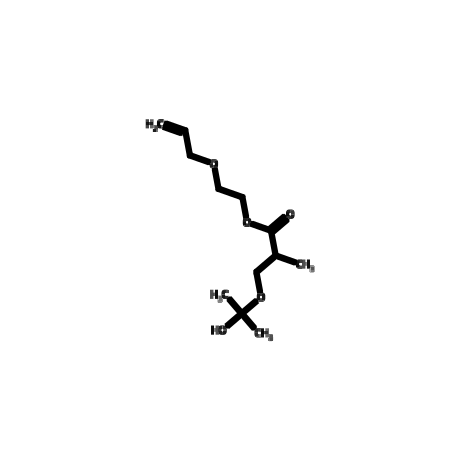 C=CCOCCOC(=O)C(C)COC(C)(C)O